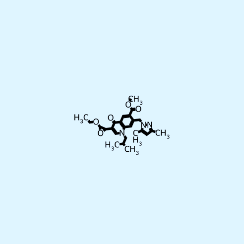 CCOC1OC1c1cn(CC(C)C)c2cc(Cn3nc(C)cc3C)c(C(=O)OC)cc2c1=O